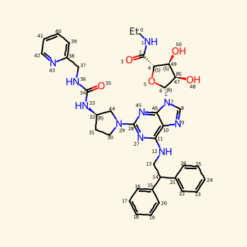 CCNC(=O)[C@H]1O[C@@H](n2cnc3c(NCC(c4ccccc4)c4ccccc4)nc(N4CC[C@@H](NC(=O)NCc5ccccn5)C4)nc32)[C@H](O)[C@@H]1O